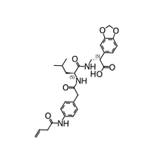 C=CCC(=O)Nc1ccc(CC(=O)N[C@@H](CC(C)C)C(=O)NC[C@@H](C(=O)O)c2ccc3c(c2)OCO3)cc1